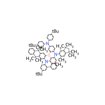 Cc1cc2c3c(c1)N(c1ccc(C(C)(C)C)cc1-c1ccccc1)c1cc4c(cc1B3c1cc(N(c3ccc(C(C)(C)C)cc3)c3ccc(C(C)(C)C)cc3)ccc1N2c1cc2c(cc1C)C(C)(C)CC2(C)C)C(C)(C)c1ccccc1C4(C)C